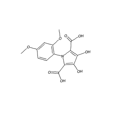 COc1ccc(-n2c(C(=O)O)c(O)c(O)c2C(=O)O)c(OC)c1